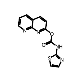 O=C(Nc1nccs1)Oc1ccc2cccnc2n1